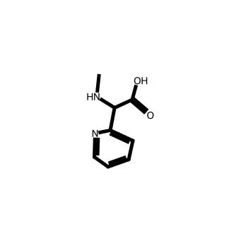 CNC(C(=O)O)c1ccccn1